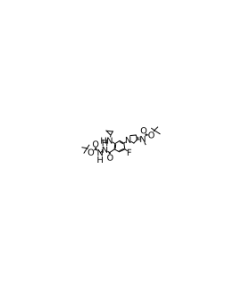 CN(C(=O)OC(C)(C)C)[C@H]1CCN(c2cc(NC3CC3)c(C(=O)NNC(=O)OC(C)(C)C)cc2F)C1